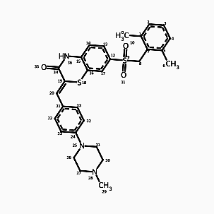 Cc1cccc(C)c1CS(=O)(=O)c1ccc2c(c1)SC(=Cc1ccc(N3CCN(C)CC3)cc1)C(=O)N2